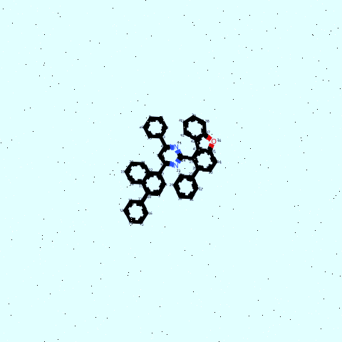 c1ccc(-c2cc(-c3ccc(-c4ccccc4)c4ccccc34)nc(-c3c(-c4ccccc4)ccc4oc5ccccc5c34)n2)cc1